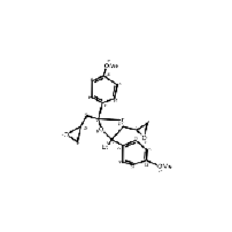 CCC(CC1CO1)(OC(CC)(CC1CO1)c1ccc(OC)cc1)c1ccc(OC)cc1